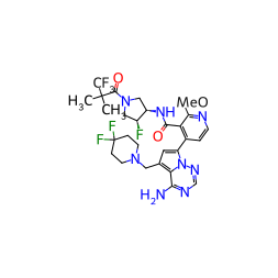 COc1nccc(-c2cc(CN3CCC(F)(F)CC3)c3c(N)ncnn23)c1C(=O)N[C@@H]1CN(C(=O)C(C)(C)C(F)(F)F)C[C@@H]1F